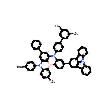 CC(C)(C)c1ccc(N2c3ccc(C(C)(C)C)cc3B3c4ccc(-c5cc6c7ccccc7n7c8ccccc8c(c5)c67)cc4N(c4ccc(-c5cc(C(C)(C)C)cc(C(C)(C)C)c5)cc4)c4cc(-c5ccccc5)cc2c43)cc1